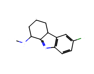 CNC1CCCC2C1=Nc1ccc(Br)cc12